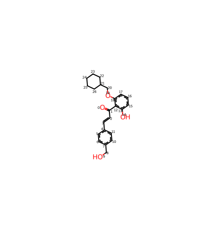 O=C(/C=C/c1ccc(CO)cc1)c1c(O)cccc1OCC1CCCCC1